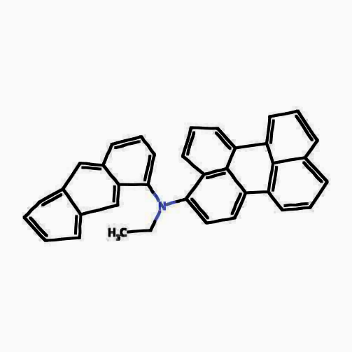 CCN(c1cccc2cc3ccccc3cc12)c1ccc2c3cccc4cccc(c5cccc1c52)c43